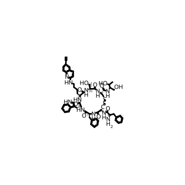 C#Cc1ccc2nc(NCCCC[C@@H]3NC(=O)[C@@H](Cc4c[nH]c5ccccc45)NC(=O)[C@H](Cc4ccccc4)NC(=O)[C@@H](NC(=O)[C@H](N)Cc4ccccc4)CSSC[C@@H](C(=O)NC(CO)C(C)O)NC(=O)[C@H]([C@@H](C)O)NC3=O)ccc2c1